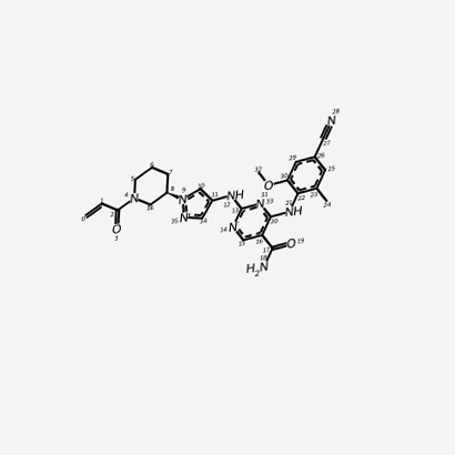 C=CC(=O)N1CCC[C@@H](n2cc(Nc3ncc(C(N)=O)c(Nc4c(C)cc(C#N)cc4OC)n3)cn2)C1